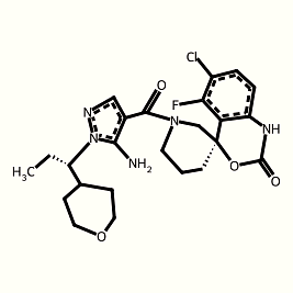 CC[C@@H](C1CCOCC1)n1ncc(C(=O)N2CCC[C@@]3(C2)OC(=O)Nc2ccc(Cl)c(F)c23)c1N